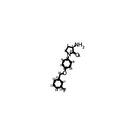 N[C@@H]1CCN(c2ccc(OCc3cccc(F)c3)cc2)C1=O